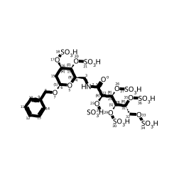 O=C(NC[C@H]1O[C@H](OCc2ccccc2)[CH][C@@H](OS(=O)(=O)O)[C@@H]1OS(=O)(=O)O)[C@H](OS(=O)(=O)O)[C@H](OS(=O)(=O)O)[C@@H](OS(=O)(=O)O)[C@@H](COS(=O)(=O)O)OS(=O)(=O)O